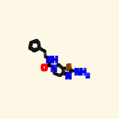 Nc1nc2c(s1)CN(C(=O)NCCc1ccccc1)CC2